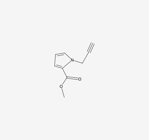 C#CCn1cccc1C(=O)OC